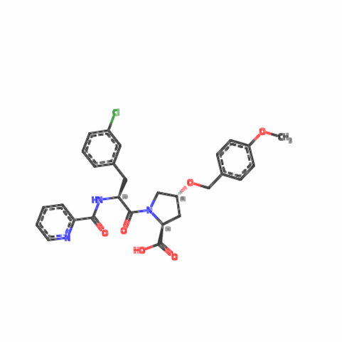 COc1ccc(CO[C@@H]2C[C@@H](C(=O)O)N(C(=O)[C@H](Cc3cccc(Cl)c3)NC(=O)c3ccccn3)C2)cc1